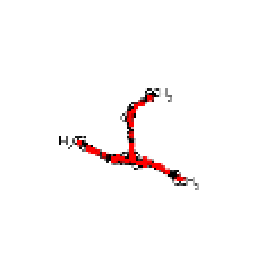 C=CC(=O)OCCCCCCCCCCCOc1ccc(C(=O)Oc2ccc(OC(=O)c3ccc(OCCCCCCCCCCCOC(=O)C=C)cc3)c(C(=O)OCCCCCCCCCCCCOC(=O)c3ccc(OCCCCCCOC(=O)C=C)cc3)c2)cc1